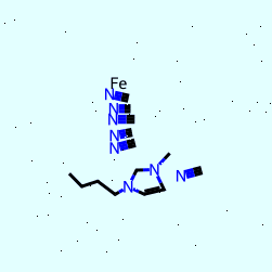 C#N.C#N.C#N.C#N.C#N.C#N.CCCCN1C=CN(C)C1.[Fe]